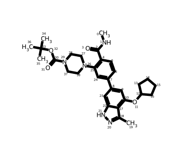 CNC(=O)c1ccc(-c2cc(OC3CCCC3)c3c(C)n[nH]c3c2)cc1N1CCN(C(=O)OC(C)(C)C)CC1